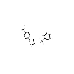 [2H]c1c([2H])c([2H])c(C([2H])([2H])S(=O)(=O)OC2=C(N)OC(c3ccc(C(=O)OC)cc3)C2=O)c([2H])c1[2H]